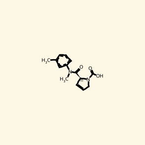 Cc1cccc(N(C)C(=O)[C@@H]2C=CCN2C(=O)O)c1